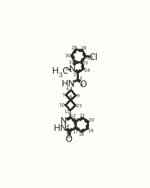 Cn1c(C(=O)N[C@H]2CC3(C2)C[C@H](c2n[nH]c(=O)c4ccccc42)C3)cc2c(Cl)cccc21